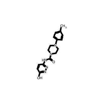 Cc1ccc(N2CCN(C(=O)Nc3ccc(O)nn3)CC2)cc1